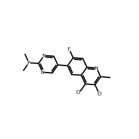 Cc1nc2cc(F)c(-c3cnc(P(C)C)nc3)cc2c(Cl)c1Cl